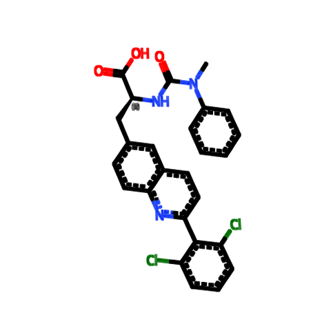 CN(C(=O)N[C@@H](Cc1ccc2nc(-c3c(Cl)cccc3Cl)ccc2c1)C(=O)O)c1ccccc1